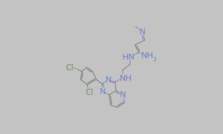 C/N=C\C=C(/N)NCCNc1nc(-c2ccc(Cl)cc2Cl)nc2cccnc12